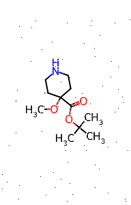 COC1(C(=O)OC(C)(C)C)[CH]CNCC1